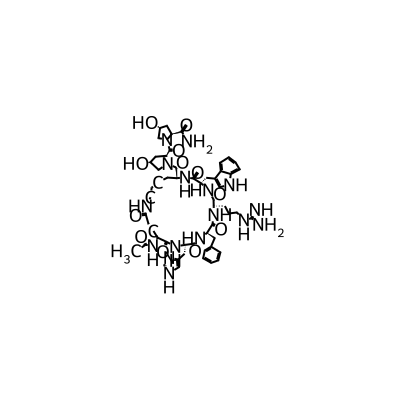 CC(=O)N[C@H]1CCC(=O)NCCCC[C@@H](C(=O)N2C[C@H](O)C[C@H]2C(=O)N2C[C@H](O)C[C@H]2C(N)=O)NC(=O)[C@H](Cc2c[nH]c3ccccc23)NC(=O)[C@H](CCCNC(=N)N)NC(=O)[C@@H](Cc2ccccc2)NC(=O)[C@H](Cc2c[nH]cn2)NC1=O